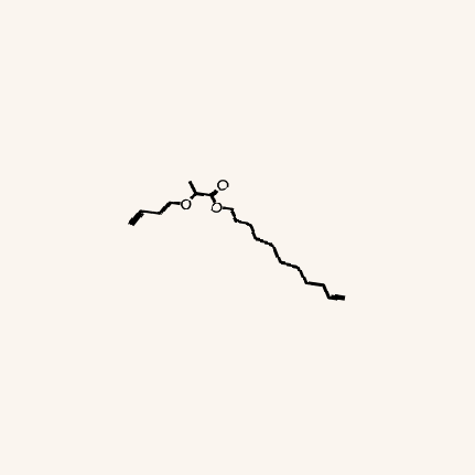 C=CCCCCCCCCCOC(=O)C(C)OCCC=C